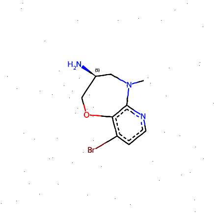 CN1C[C@H](N)COc2c(Br)ccnc21